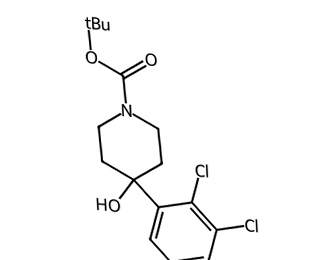 CC(C)(C)OC(=O)N1CCC(O)(c2cccc(Cl)c2Cl)CC1